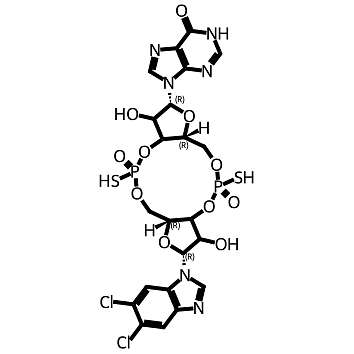 O=c1[nH]cnc2c1ncn2[C@@H]1O[C@@H]2COP(=O)(S)OC3C(O)[C@H](n4cnc5cc(Cl)c(Cl)cc54)O[C@@H]3COP(=O)(S)OC2C1O